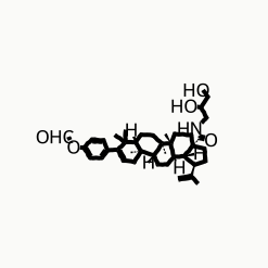 C=C(C)[C@@H]1CC[C@]2(C(=O)NCC(O)CO)CC[C@]3(C)[C@H](CC[C@@H]4[C@@]5(C)CC=C(c6ccc(OC=O)cc6)C(C)(C)[C@@H]5CC[C@]43C)[C@@H]12